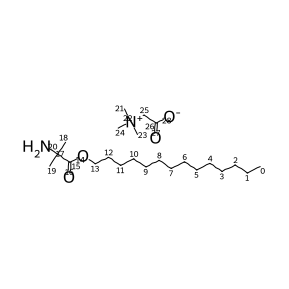 CCCCCCCCCCCCCCOC(=O)C(C)(C)N.C[N+](C)(C)CC(=O)[O-]